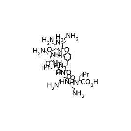 CC(C)C[C@H](NC(=O)[C@H](CCN)NC(=O)[C@H](CCN)NC(=O)[C@@H](Cc1ccccc1)NC(=O)[C@H](CC(C)C)NC(=O)[C@H](CCN)NC(=O)[C@H](CCN)NC(=O)[C@H](N)CCN)C(=O)O